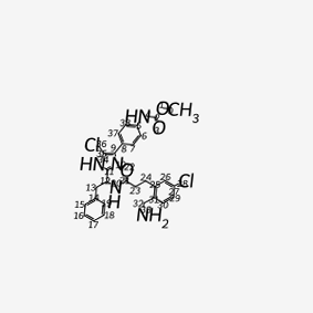 COC(=O)Nc1ccc(-c2nc(C(Cc3ccccc3)NC(=O)CCc3cc(Cl)ccc3CN)[nH]c2Cl)cc1